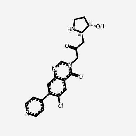 O=C(C[C@H]1NCC[C@@H]1O)Cn1cnc2cc(-c3ccncc3)c(Cl)cc2c1=O